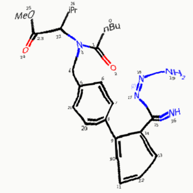 CCCCC(=O)N(Cc1ccc(-c2ccccc2C(=N)/N=N\N)cc1)C(C(=O)OC)C(C)C